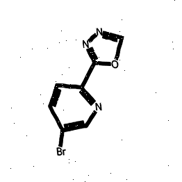 Brc1ccc(-c2nnco2)nc1